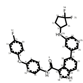 O=C(Nc1ccc(Oc2ccc(F)cc2)nc1)c1n[nH]c2ccc(-c3cncc(NC4CCC(F)(F)C4)c3)cc12